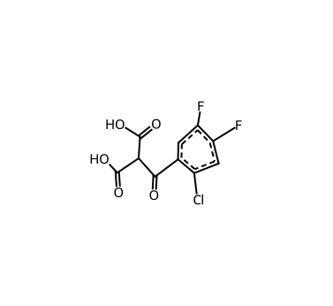 O=C(O)C(C(=O)O)C(=O)c1cc(F)c(F)cc1Cl